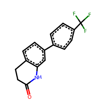 O=C1CCc2ccc(-c3ccc(C(F)(F)F)cc3)cc2N1